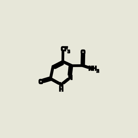 NC(=O)c1n[nH]c(=O)cc1C(F)(F)F